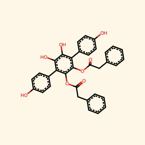 O=C(Cc1ccccc1)Oc1c(OC(=O)Cc2ccccc2)c(-c2ccc(O)cc2)c(O)c(O)c1-c1ccc(O)cc1